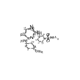 COc1ccc(Nc2nc(Nc3cccc(S(N)(=O)=O)c3)ncc2F)cn1